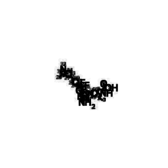 CCC1NC(C(=O)O)CC12CCN(c1cc(O[C@H](c3ccc(-c4ccc5c(c4)c(C)cn5C)cc3)C(F)(F)F)nc(N)n1)CC2